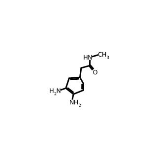 CNC(=O)Cc1ccc(N)c(N)c1